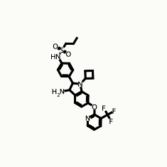 CCCS(=O)(=O)Nc1ccc(C2C(N)c3ccc(Oc4ncccc4C(F)(F)F)cc3N2C2CCC2)cc1